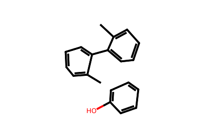 Cc1ccccc1-c1ccccc1C.Oc1ccccc1